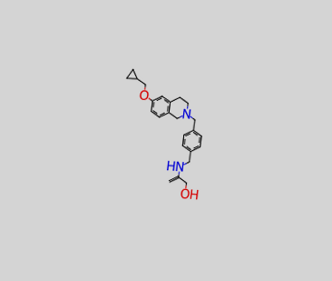 C=C(CO)NCc1ccc(CN2CCc3cc(OCC4CC4)ccc3C2)cc1